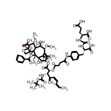 C=C(/C=C\C=C/C)[C@H](NC(=O)OC(C)(C)C)[C@@H](OC(=O)CCC(=O)Nc1ccc(C[C@H](NC(=O)N[C@@H](CCC(=O)O)C(=O)O)C(=O)O)cc1)C(=O)O[C@H]1C[C@]2(O)C(C)(C)C(=C1C)[C@@H](OC)C(O)[C@]1(C)[C@@H](OC)C[C@H]3OC[C@@]3(OC(C)=O)[C@H]1[C@@]2(C)OC(=O)c1ccccc1